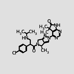 CC(C)NCC(C(=O)N1Cc2nn(-c3ncnc4c3C(C)(C)C(=O)N4)cc2[C@H]1C)c1ccc(Cl)cc1